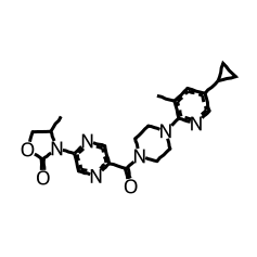 Cc1cc(C2CC2)cnc1N1CCN(C(=O)c2cnc(N3C(=O)OCC3C)cn2)CC1